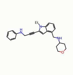 CCn1c(C#CCNc2ccccc2)cc2c(CNC3CCOCC3)cccc21